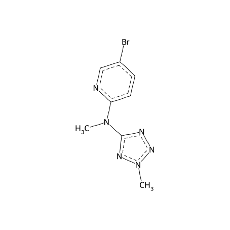 CN(c1ccc(Br)cn1)c1nnn(C)n1